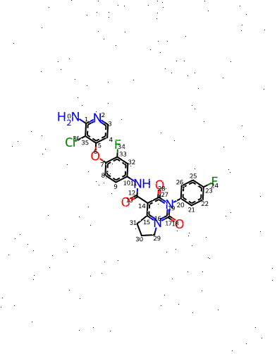 Nc1nccc(Oc2ccc(NC(=O)c3c4n(c(=O)n(-c5ccc(F)cc5)c3=O)CCC4)cc2F)c1Cl